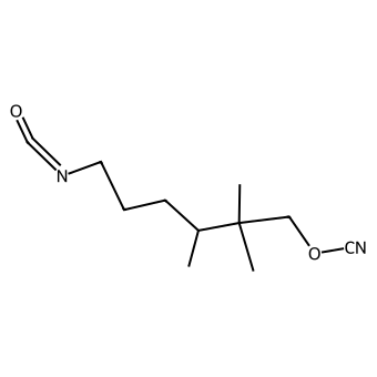 CC(CCCN=C=O)C(C)(C)COC#N